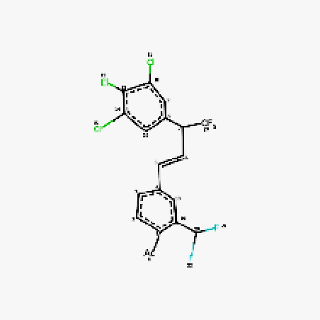 CC(=O)c1ccc(/C=C/C(c2cc(Cl)c(Cl)c(Cl)c2)C(F)(F)F)cc1C(F)F